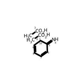 CC(=O)O.CC(=O)O.N=C1C=CC=CC1